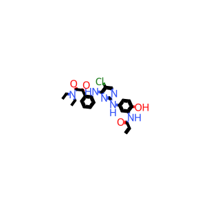 C=CC(=O)Nc1cc(Nc2ncc(Cl)c(Nc3ccccc3C(=O)C(=O)N(CC)CC)n2)ccc1O